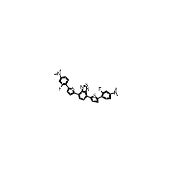 CN(C)c1ccc(-c2ccc(-c3ccc(-c4ccc(-c5ccc(N(C)C)cc5F)s4)c4nsnc34)s2)c(F)c1